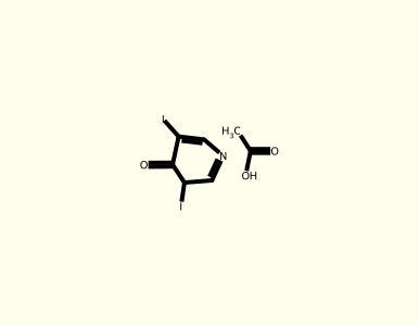 CC(=O)O.O=C1C(I)=CN=CC1I